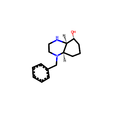 O[C@@H]1CCC[C@@H]2[C@H]1NCCN2Cc1ccccc1